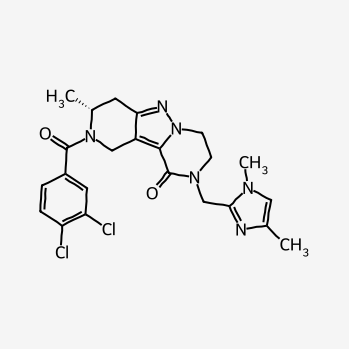 Cc1cn(C)c(CN2CCn3nc4c(c3C2=O)CN(C(=O)c2ccc(Cl)c(Cl)c2)[C@H](C)C4)n1